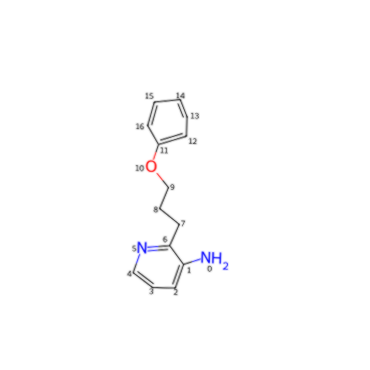 Nc1cccnc1CCCOc1ccccc1